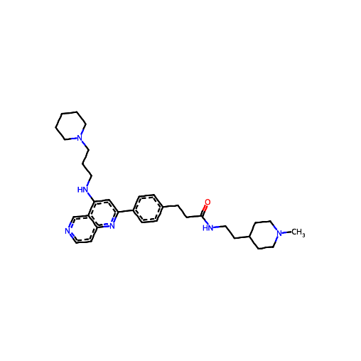 CN1CCC(CCNC(=O)CCc2ccc(-c3cc(NCCCN4CCCCC4)c4cnccc4n3)cc2)CC1